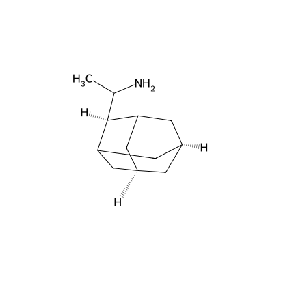 CC(N)[C@H]1C2C[C@@H]3CC1C[C@@H](C2)C3